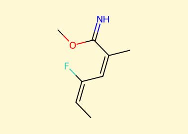 C/C=C(F)\C=C(\C)C(=N)OC